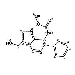 CC(C)(C)OC(=O)Nc1c(-c2ccccc2)ccn2c(CO)cnc12